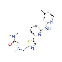 Cc1ccnc(Nc2cccc(-c3cnc(CN(C)CC(=O)N(C)C)s3)n2)c1